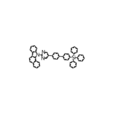 c1ccc([Si](c2ccccc2)(c2ccccc2)c2ccc(-c3ccc(-c4cnc(-n5c6ccccc6c6ccc7ccccc7c65)nc4)cc3)cc2)cc1